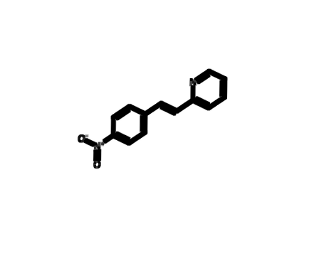 O=[N+]([O-])c1ccc(C=Cc2ccccn2)cc1